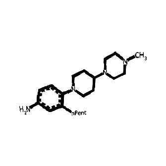 CCCCCc1cc(N)ccc1N1CCC(N2CCN(C)CC2)CC1